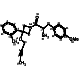 CC#CCOC1(c2ccccc2C)CN(C(=O)[C@H](N)Cc2ccc(OC)cc2)C1